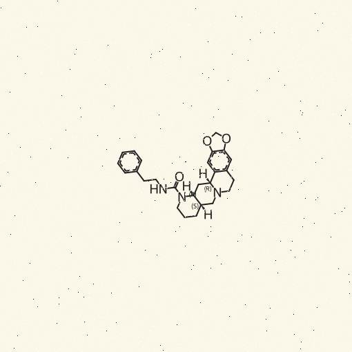 O=C(NCCc1ccccc1)N1CCC[C@H]2CN3CCc4cc5c(cc4[C@H]3C[C@H]21)OCO5